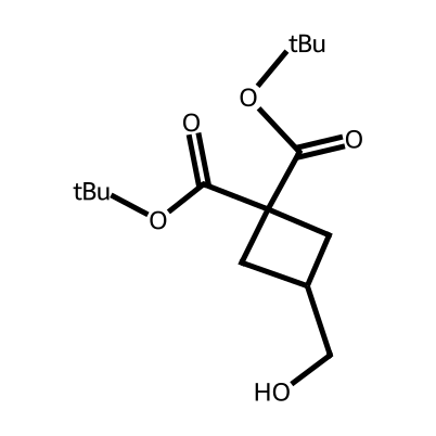 CC(C)(C)OC(=O)C1(C(=O)OC(C)(C)C)CC(CO)C1